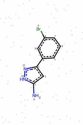 Nc1cc(-c2cccc(Br)c2)n[nH]1